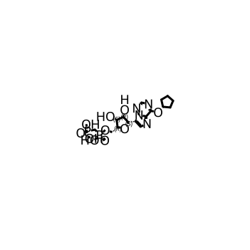 O=P(O)(O)CP(=O)(O)OC[C@H]1O[C@@H](c2cnc3c(OC4CCCC4)ncnn23)[C@H](O)[C@@H]1O